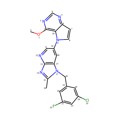 COc1ncnc2ccn(-c3cnc4nc(C)n(Cc5cc(F)cc(Cl)c5)c4c3)c12